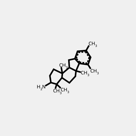 Cc1cc(C)c2c(c1)CC1C2(C)CCC2C(C)(C)C(N)CCC12C